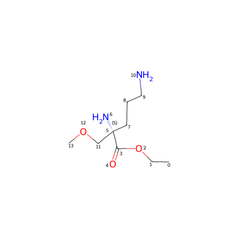 CCOC(=O)[C@](N)(CCCN)COC